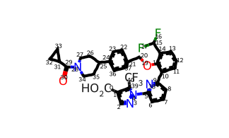 O=C(O)c1cnn(-c2cccc(-c3cccc(C(F)F)c3OCc3ccc(C4CCN(C(=O)C5CC5)CC4)cc3)n2)c1C(F)(F)F